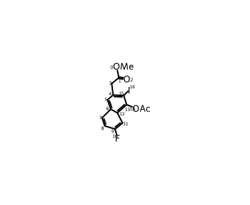 COC(=O)Cc1cc2ccc(F)cc2c(OC(C)=O)c1I